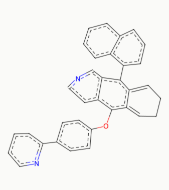 C1=c2c(Oc3ccc(-c4ccccn4)cc3)c3ccncc3c(-c3cccc4ccccc34)c2=CCC1